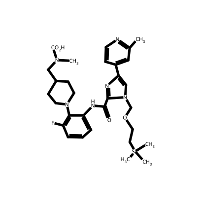 Cc1cc(-c2cn(COCC[Si](C)(C)C)c(C(=O)Nc3cccc(F)c3N3CCC(CN(C)C(=O)O)CC3)n2)ccn1